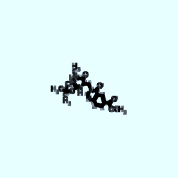 CNC(=O)C(Cn1cnc2ccc(C(=O)OC)cc2c1=O)NC(=O)OC(C)(C)C